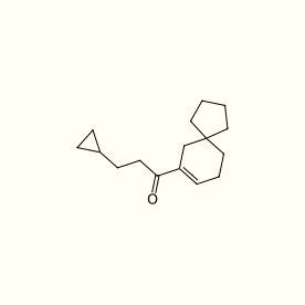 O=C(CCC1CC1)C1=CCCC2(CCCC2)C1